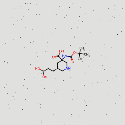 CC(C)(C)OC(=O)N[C@@]1(C(=O)O)CNC[C@@H](CCB(O)O)C1